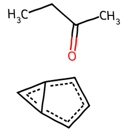 CCC(C)=O.c1cc2cc-2c1